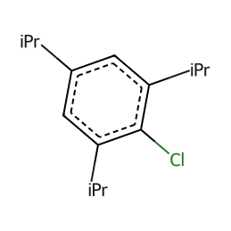 CC(C)c1cc(C(C)C)c(Cl)c(C(C)C)c1